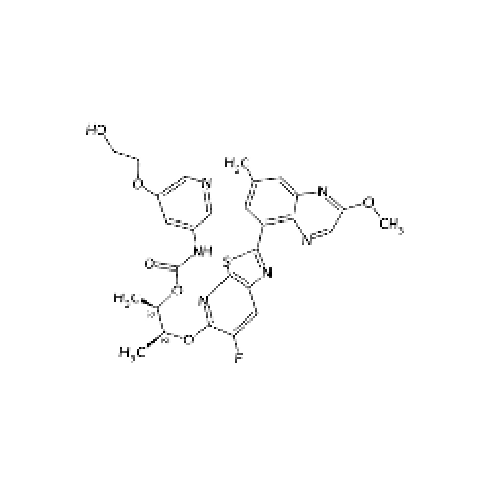 COc1cnc2c(-c3nc4cc(F)c(O[C@@H](C)[C@@H](C)OC(=O)Nc5cncc(OCCO)c5)nc4s3)cc(C)cc2n1